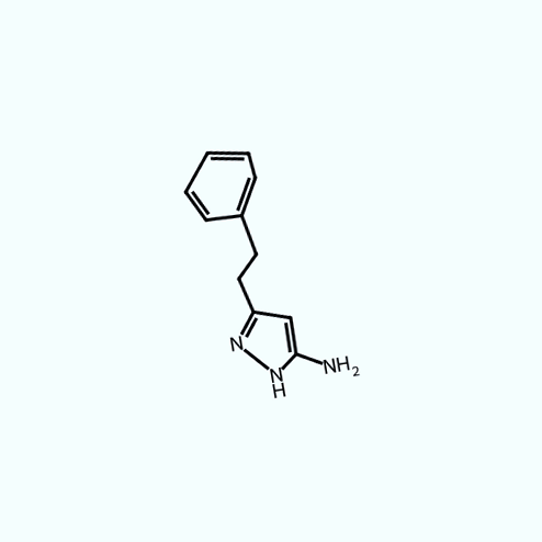 Nc1cc(CCc2ccccc2)n[nH]1